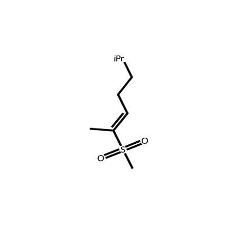 C/C(=C\CCC(C)C)S(C)(=O)=O